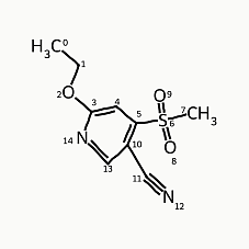 CCOc1cc(S(C)(=O)=O)c(C#N)cn1